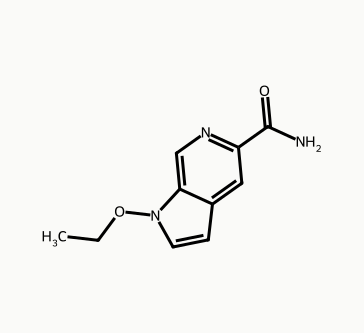 CCOn1ccc2cc(C(N)=O)ncc21